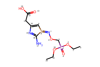 CCOP(=O)(CO/N=S1/C=C(CC(=O)O)N=C1N)OCC